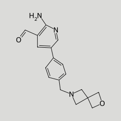 Nc1ncc(-c2ccc(CN3CC4(COC4)C3)cc2)cc1C=O